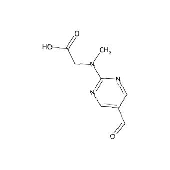 CN(CC(=O)O)c1ncc(C=O)cn1